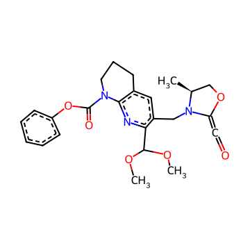 COC(OC)c1nc2c(cc1CN1C(=C=O)OC[C@@H]1C)CCCN2C(=O)Oc1ccccc1